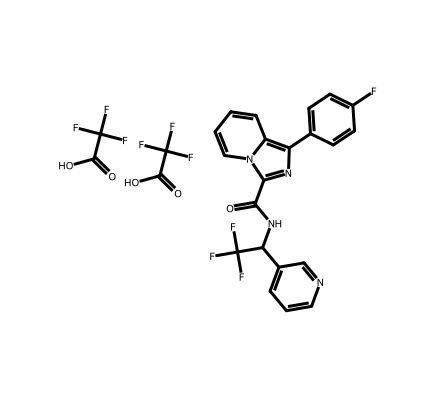 O=C(NC(c1cccnc1)C(F)(F)F)c1nc(-c2ccc(F)cc2)c2ccccn12.O=C(O)C(F)(F)F.O=C(O)C(F)(F)F